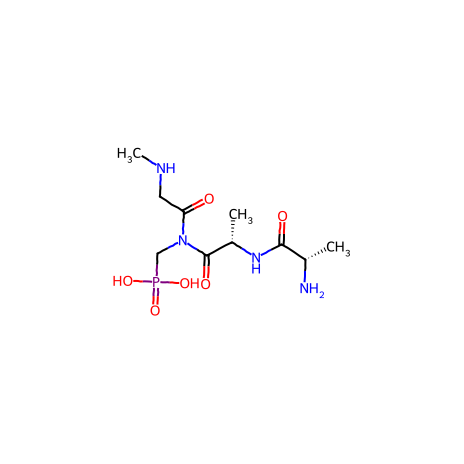 CNCC(=O)N(CP(=O)(O)O)C(=O)[C@H](C)NC(=O)[C@H](C)N